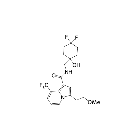 COCCc1cc(C(=O)NCC2(O)CCC(F)(F)CC2)c2c(C(F)(F)F)cccn12